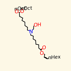 CCCCCC/C=C\COC(=O)CCCCCCCN(CCO)CCCCCCCC(OCCCCCCCC)OCCCCCCCC